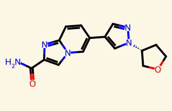 NC(=O)c1cn2cc(-c3cnn([C@@H]4CCOC4)c3)ccc2n1